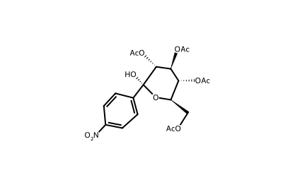 CC(=O)OC[C@H]1O[C@@](O)(c2ccc([N+](=O)[O-])cc2)[C@H](OC(C)=O)[C@@H](OC(C)=O)[C@@H]1OC(C)=O